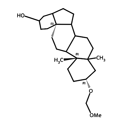 COCO[C@@H]1CC[C@]2(C)C3CC[C@]45CCC(O)CC4CCC5C3CCC2(C)C1